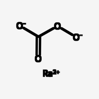 O=C([O-])O[O-].[Ra+2]